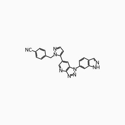 N#Cc1ccc(Cn2nccc2-c2cnc3nnn(-c4ccc5cn[nH]c5c4)c3c2)cc1